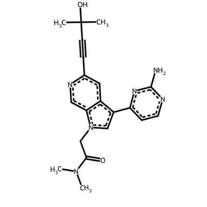 CN(C)C(=O)Cn1cc(-c2ccnc(N)n2)c2cc(C#CC(C)(C)O)ncc21